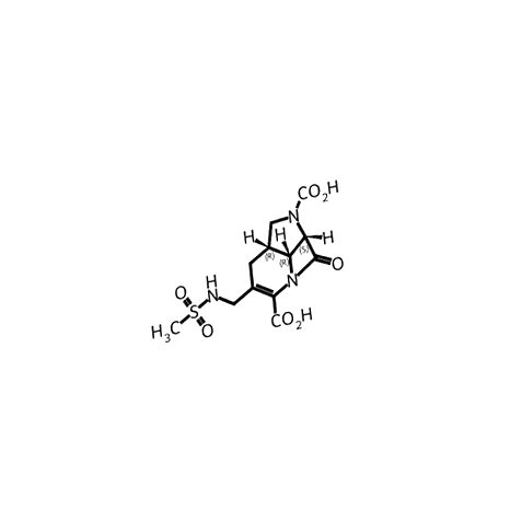 CS(=O)(=O)NCC1=C(C(=O)O)N2C(=O)[C@@H]3[C@H]2[C@H](C1)CN3C(=O)O